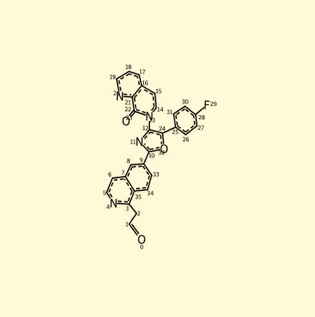 O=CCc1nccc2cc(-c3nc(-n4ccc5cccnc5c4=O)c(-c4ccc(F)cc4)o3)ccc12